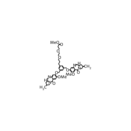 C=C1C[C@H]2C=Nc3cc(OCc4cc(CCCOCCOCCC(=O)OC)cc(COc5cc6c(cc5OC)C(=O)N5CC(=C)C[C@H]5C=N6)c4)c(OC)cc3C(=O)N2C1